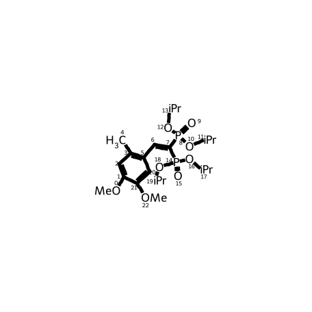 COc1cc(C)c(C=C(P(=O)(OC(C)C)OC(C)C)P(=O)(OC(C)C)OC(C)C)cc1OC